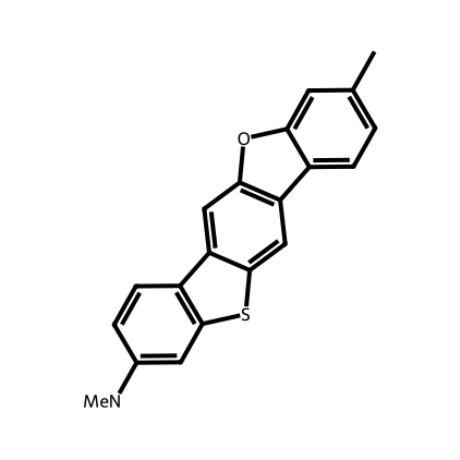 CNc1ccc2c(c1)sc1cc3c(cc12)oc1cc(C)ccc13